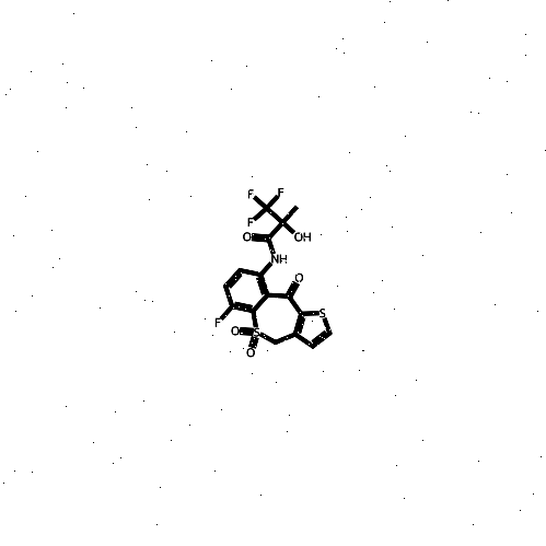 CC(O)(C(=O)Nc1ccc(F)c2c1C(=O)c1sccc1CS2(=O)=O)C(F)(F)F